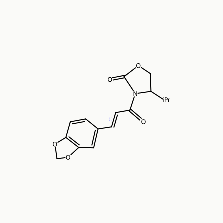 CC(C)C1COC(=O)N1C(=O)/C=C/c1ccc2c(c1)OCO2